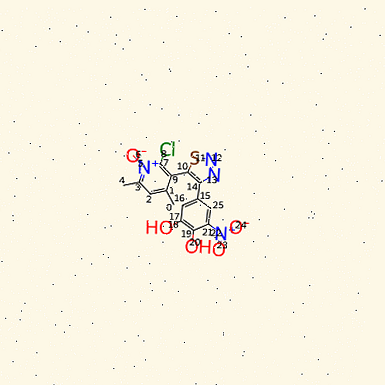 Cc1cc(C)[n+]([O-])c(Cl)c1-c1snnc1-c1cc(O)c(O)c([N+](=O)[O-])c1